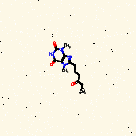 CCC(=O)CCCc1nc2c(c(=O)[nH]c(=O)n2C)n1C